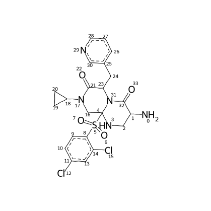 NC1CNC2(S(=O)(=O)c3ccc(Cl)cc3Cl)CN(C3CC3)C(=O)C(Cc3cccnc3)N2C1=O